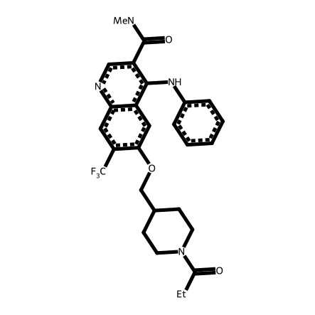 CCC(=O)N1CCC(COc2cc3c(Nc4ccccc4)c(C(=O)NC)cnc3cc2C(F)(F)F)CC1